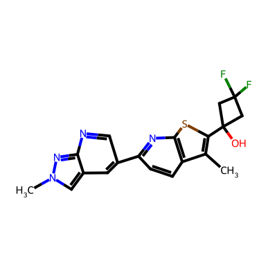 Cc1c(C2(O)CC(F)(F)C2)sc2nc(-c3cnc4nn(C)cc4c3)ccc12